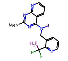 CNc1nc(N(I)Cc2cccnc2C(F)(F)P)c2cccnc2n1